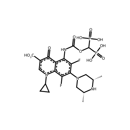 C[C@@H]1CN(c2c(F)c(NC(=O)OC(P(=O)(O)O)P(=O)(O)O)c3c(=O)c(C(=O)O)cn(C4CC4)c3c2F)C[C@H](C)N1